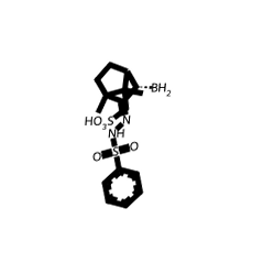 B[C@@H]1/C(=N/NS(=O)(=O)c2ccccc2)C2(C)CCC1C2(C)CS(=O)(=O)O